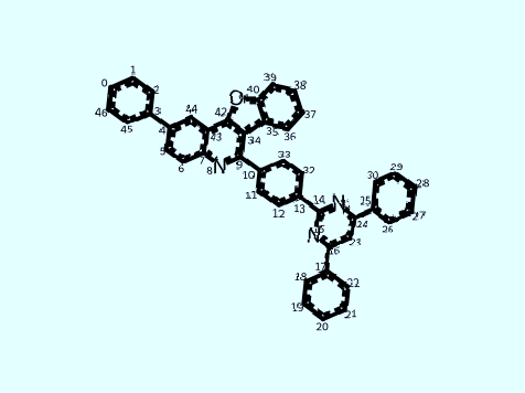 c1ccc(-c2ccc3nc(-c4ccc(-c5nc(-c6ccccc6)cc(-c6ccccc6)n5)cc4)c4c5ccccc5oc4c3c2)cc1